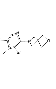 Cc1c(F)cnc(N2CC3(COC3)C2)c1Br